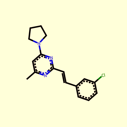 Cc1cc(N2CCCC2)nc(/C=C/c2cccc(Cl)c2)n1